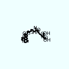 CC1(C)CCN2CCC(C)(C)c3c2c1cc1cc(-c2ccc(-c4ccc(/C=C(\C#N)C(=O)NCCCCN(CC(=O)O)CC(=O)O)s4)s2)c(=O)oc31